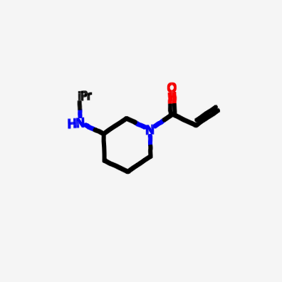 C=CC(=O)N1CCCC(NC(C)C)C1